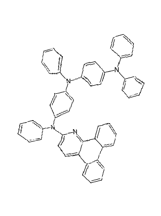 c1ccc(N(c2ccccc2)c2ccc(N(c3ccccc3)c3ccc(N(c4ccccc4)c4ccc5c6ccccc6c6ccccc6c5n4)cc3)cc2)cc1